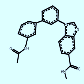 CNC(=O)c1ccc2c(c1)ncn2-c1cccc(-c2cccc(NC(C)=O)c2)c1